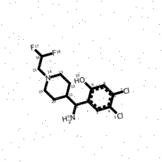 NC(c1cc(Cl)c(Cl)cc1O)C1CCN(CC(F)F)CC1